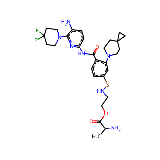 CC(N)C(=O)OCCNSc1ccc(C(=O)Nc2ccc(N)c(N3CCC(F)(F)CC3)n2)c(N2CCC3(CC2)CC3)c1